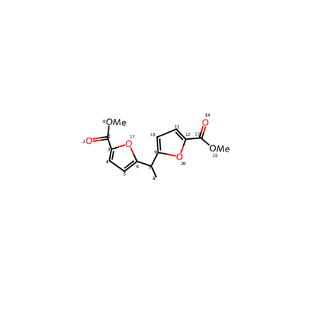 COC(=O)c1ccc(C(C)c2ccc(C(=O)OC)o2)o1